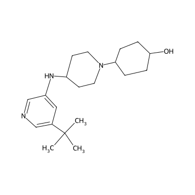 CC(C)(C)c1cncc(NC2CCN(C3CCC(O)CC3)CC2)c1